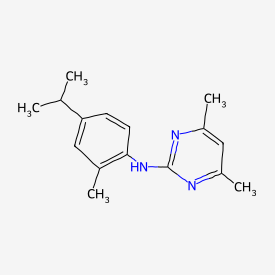 Cc1cc(C)nc(Nc2ccc(C(C)C)cc2C)n1